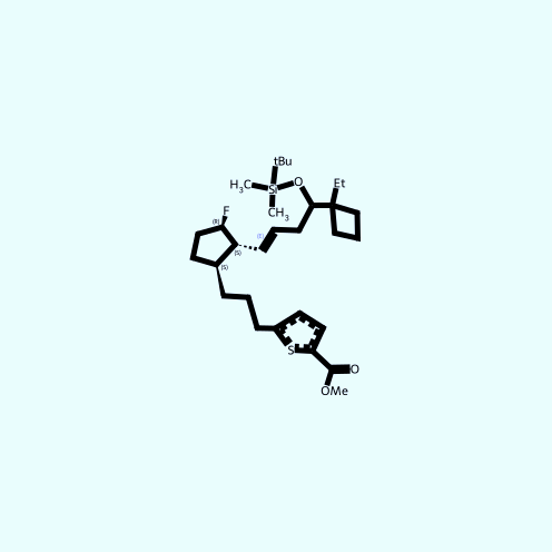 CCC1(C(C/C=C/[C@@H]2[C@@H](CCCc3ccc(C(=O)OC)s3)CC[C@H]2F)O[Si](C)(C)C(C)(C)C)CCC1